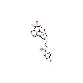 CN1C(=O)C(C)(C)N2c3c1cccc3[C@]1(C)CN(CCCC(=O)c3ccc(F)cc3)CC[C@H]21